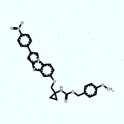 COc1ccc(COC(=O)NC2(COc3ccc4c(c3)sc3cc(-c5ccc([N+](=O)[O-])cc5)cn34)CC2)cc1